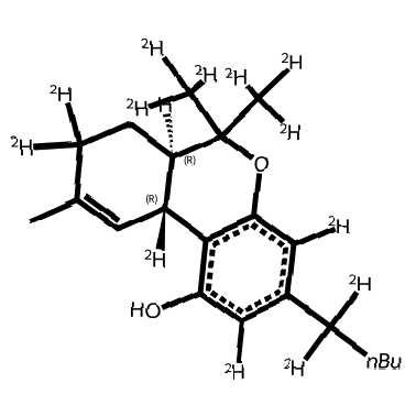 [2H]c1c(O)c2c(c([2H])c1C([2H])([2H])CCCC)OC(C([2H])([2H])[2H])(C([2H])([2H])[2H])[C@@H]1CC([2H])([2H])C(C)=C[C@@]21[2H]